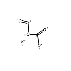 O=COC(=O)[O-].[K+]